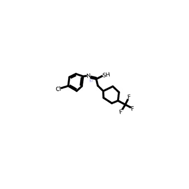 FC(F)(F)C1CCC(C/C(S)=N\c2ccc(Cl)cc2)CC1